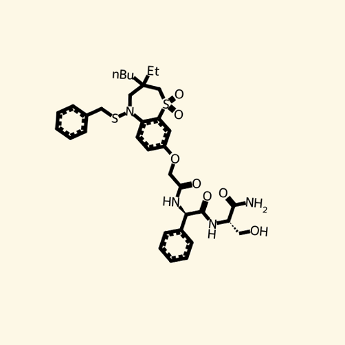 CCCCC1(CC)CN(SCc2ccccc2)c2ccc(OCC(=O)N[C@@H](C(=O)N[C@@H](CO)C(N)=O)c3ccccc3)cc2S(=O)(=O)C1